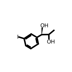 CC(O)[C@H](O)c1cccc(I)c1